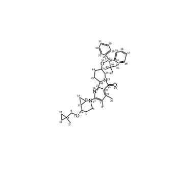 Cc1c(N2CCC(OCC3(C)CC3)C3CC32)nc2c(c1C)C(=O)N1CC(O[Si](c3ccccc3)(c3ccccc3)C(C)(C)C)CCC21